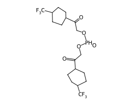 O=C(CO[PH](=O)OCC(=O)C1CCC(C(F)(F)F)CC1)C1CCC(C(F)(F)F)CC1